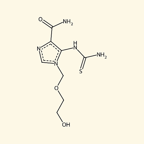 NC(=O)c1ncn(COCCO)c1NC(N)=S